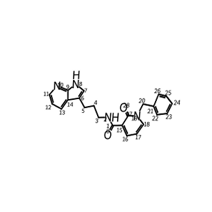 O=C(NCCCc1c[nH]c2ncccc12)c1cccn(Cc2ccccc2)c1=O